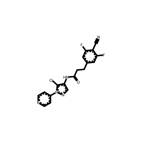 N#Cc1c(F)cc(CCC(=O)Nc2cnn(-c3ccncc3)c2Cl)cc1F